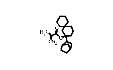 C=C(C)C(=O)OC1(C2CC3CCC2C3)CCCC2(CCCCC2)C1